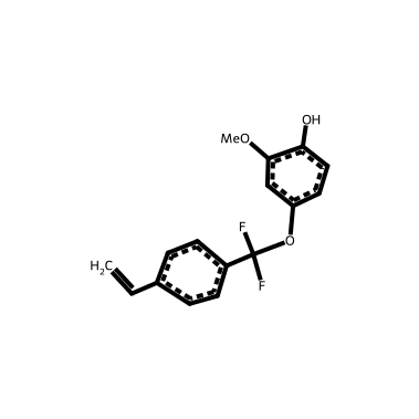 C=Cc1ccc(C(F)(F)Oc2ccc(O)c(OC)c2)cc1